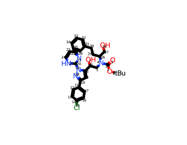 CC(C)(C)OC(=O)N(CC(O)c1cc(-c2ccc(Cl)cc2)nn1C1N=CC=CN1)C(CO)CCc1ccccc1